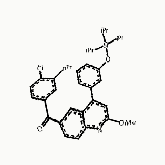 CCCc1cc(C(=O)c2ccc3nc(OC)cc(-c4cccc(O[Si](C(C)C)(C(C)C)C(C)C)c4)c3c2)ccc1Cl